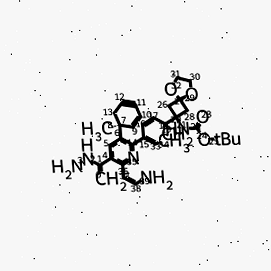 C=C(NN)c1cc([C@]2(C)C=CC#CC2)c(C(/C=C\C(=C)C2(NC(=O)OC(C)(C)C)CC3(C2)OCCO3)=C/C)nc1/C=C\N